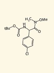 CON(C)C(=O)C(NC(=O)OC(C)(C)C)c1ccc(Cl)cc1